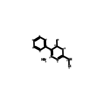 Br.CCNC1=NN=C(c2ccccc2)C(C)S1